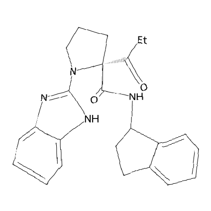 CCC(=O)[C@@]1(C(=O)NC2CCc3ccccc32)CCCN1c1nc2ccccc2[nH]1